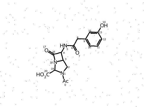 CC(=O)N1CC2C(NC(=O)Cc3cccc(O)c3)C(=O)N2C1C(=O)O